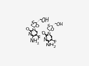 Nc1nc(=O)n([C@@H]2CS[C@H](CO)O2)cc1F.Nc1nc(=O)n([C@@H]2CS[C@H](CO)O2)cc1F